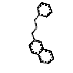 c1ccc(C[N]Cc2ccc3ccccc3c2)cc1